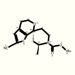 C[C@H]1C[C@@]2(CCN1C(=O)OC(C)(C)C)OCCc1cc(C#N)sc12